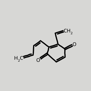 C=C/C=C\C1=C(C=C)C(=O)C=CC1=O